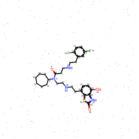 O=C(CCNCCc1cc(F)ccc1F)N(CCNCCc1ccc(O)c2[nH]c(=O)sc12)C1CCCCCC1